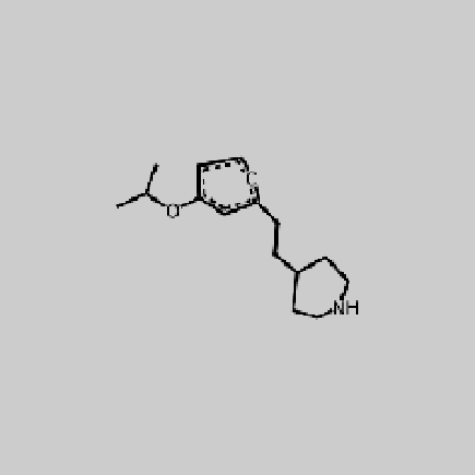 CC(C)Oc1cccc(CCC2CCNCC2)c1